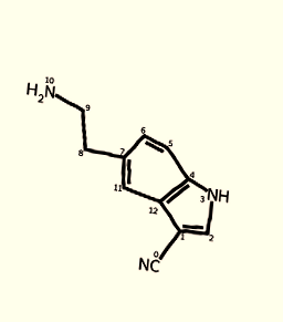 N#Cc1c[nH]c2ccc(CCN)cc12